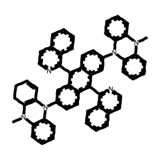 CN1C2=C(C=CCC2)N(c2ccc3c(-c4nccc5ccccc45)c4cc(N5c6ccccc6N(C)c6ccccc65)ccc4c(-c4nccc5ccccc45)c3c2)c2ccccc21